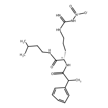 CC(C)C[CH]NC(=O)[C@H](CCCNC(=N)N[N+](=O)[O-])NC(=O)C(C)c1ccccc1